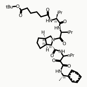 CCCC(NC(=O)[C@@H]1[C@H]2CCC[C@H]2CN1C(=O)C(NC(=O)[C@@H](NC(=O)CCCCC(=O)OC(C)(C)C)C(C)C)C(C)C)C(=O)C(=O)N[C@@H](C)c1ccccc1